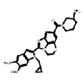 COc1cc2cc(-c3nc4cc(C(=O)N5CCCC(N)C5)cc5c4n3CCO5)n(CC3CC3)c2cc1OC